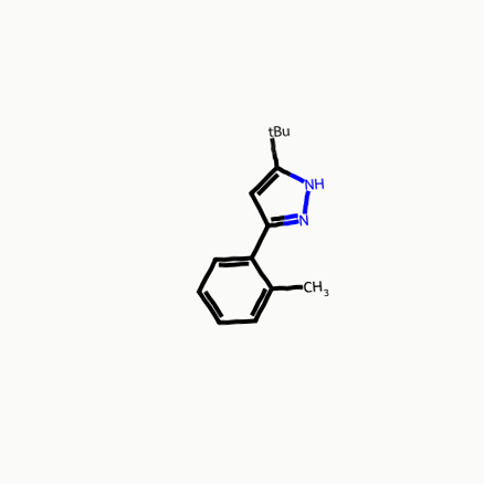 Cc1ccccc1-c1cc(C(C)(C)C)[nH]n1